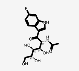 CC(=O)N[C@@H](C(=O)c1c[nH]c2cc(F)ccc12)[C@@H](O)[C@H](O)[C@H](O)CO